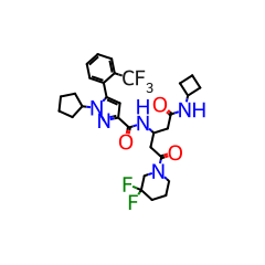 O=C(CC(CC(=O)N1CCCC(F)(F)C1)NC(=O)c1cc(-c2ccccc2C(F)(F)F)n(C2CCCC2)n1)NC1CCC1